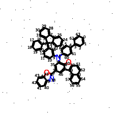 c1ccc(-c2ccc(N(c3cccc(C4(c5ccccc5)c5ccccc5-c5ccccc54)c3)c3cc(-c4nc5ccccc5o4)cc4c3oc3ccc5ccccc5c34)cc2)cc1